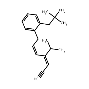 C#C/C=C(\C=C/Cc1ccccc1CC(C)(C)P)C(C)C